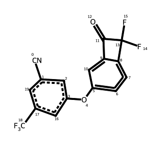 N#Cc1cc(OC2=C=C=C3C(=C2)C(=O)C3(F)F)cc(C(F)(F)F)c1